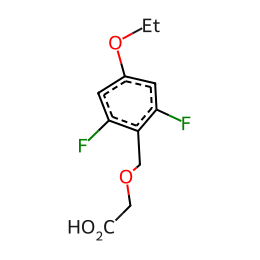 CCOc1cc(F)c(COCC(=O)O)c(F)c1